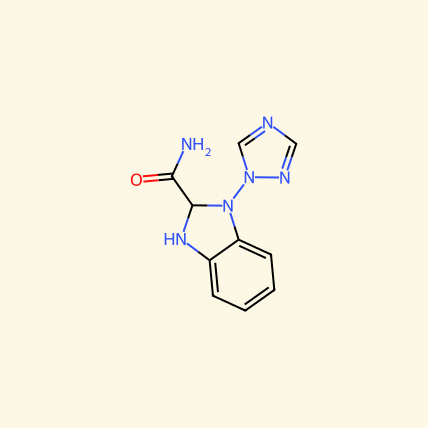 NC(=O)C1Nc2ccccc2N1n1cncn1